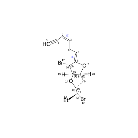 C#C/C=C\C/C=C1/O[C@H]2C[C@H]([C@@H](Br)CC)O[C@H]2[C@@H]1Br